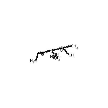 CCCCCC/C=C\COC(=O)CCCCCCCN(CCCCCCCC(=O)OC(CCCCCCCC)CCCCCCCC)CCCN/C(=C/[N+](=O)[O-])NC